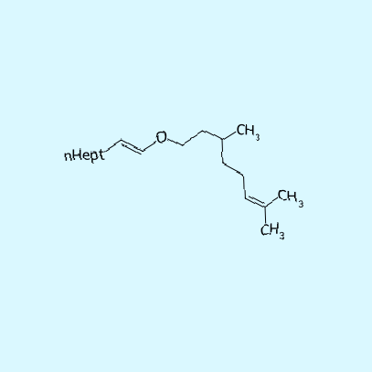 CCCCCCCC=COCCC(C)CCC=C(C)C